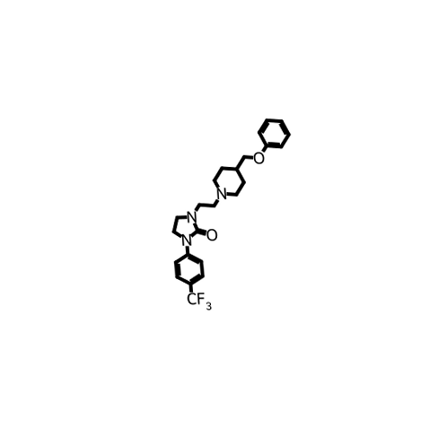 O=C1N(CCN2CCC(COc3ccccc3)CC2)CCN1c1ccc(C(F)(F)F)cc1